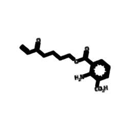 C=CC(=O)CCCCOC(=O)c1cccc(C(=O)O)c1N